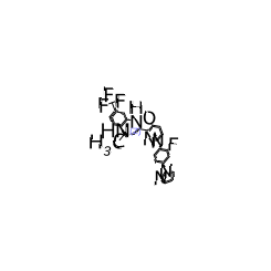 CC(=N)/C=C(\Nc1cccc(C(F)(F)F)c1)c1nn(-c2ccc(-n3cccn3)cc2F)ccc1=O